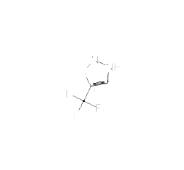 FC(F)(F)C1=CN[N]S1